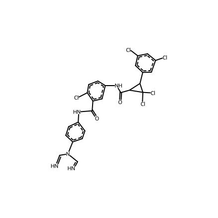 N=CN(C=N)c1ccc(NC(=O)c2cc(NC(=O)C3C(c4cc(Cl)cc(Cl)c4)C3(Cl)Cl)ccc2Cl)cc1